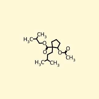 CC(=O)OC1CCCC1(CCC(C)C)C(=O)OCC(C)C